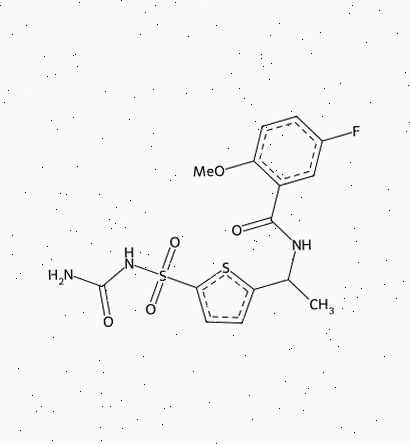 COc1ccc(F)cc1C(=O)NC(C)c1ccc(S(=O)(=O)NC(N)=O)s1